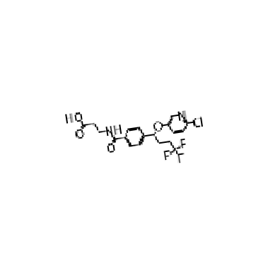 O=C(O)CCNC(=O)c1ccc(C(CCC(F)(F)F)Oc2ccc(Cl)nc2)cc1